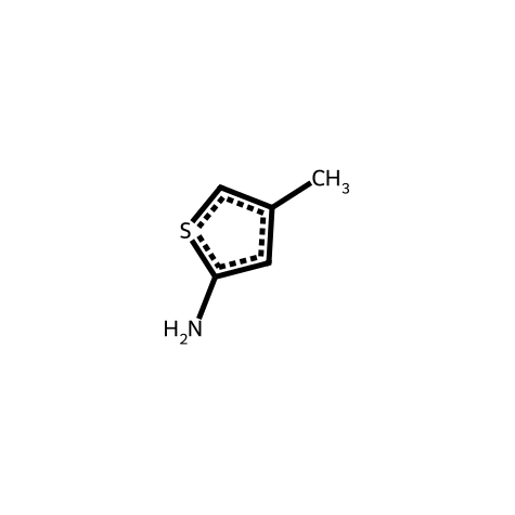 Cc1csc(N)c1